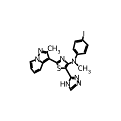 Cc1nn2ccccc2c1-c1nc(N(C)c2ccc(I)cc2)c(-c2nnc[nH]2)s1